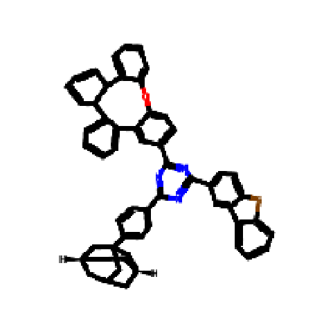 C1=CC2c3ccccc3Oc3ccc(-c4nc(-c5ccc(C67CC8C[C@H](C6)C[C@@H](C8)C7)cc5)nc(-c5ccc6sc7ccccc7c6c5)n4)cc3-c3ccccc3C2C=C1